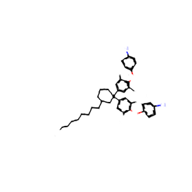 CCCCCCCCCC1CCCC(c2cc(C)c(Oc3ccc(N)cc3)c(C)c2)(c2cc(C)c(Oc3ccc(N)cc3)c(C)c2)C1